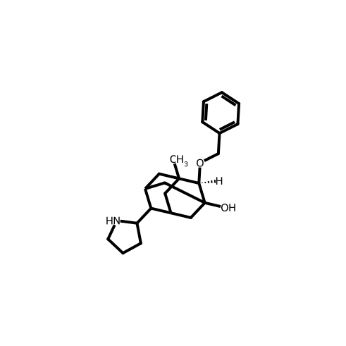 CC12CC3CC(O)(CC(C1)C3C1CCCN1)[C@@H]2OCc1ccccc1